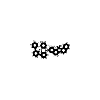 CC1(C)c2c(ccc3ccccc23)-c2ccc3cc(N(c4ccccc4)c4cccc5c4oc4c(-c6ccccc6)cccc45)ccc3c21